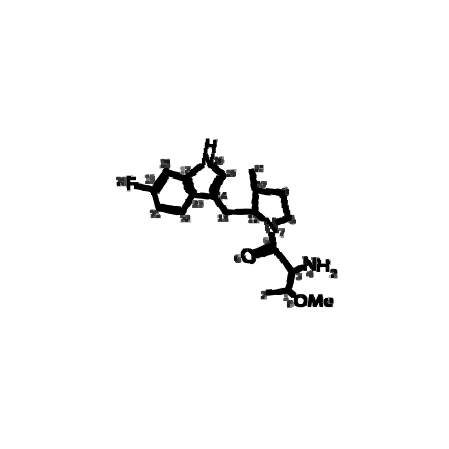 COC(C)C(N)C(=O)N1CCC(C)C1Cc1c[nH]c2cc(F)ccc12